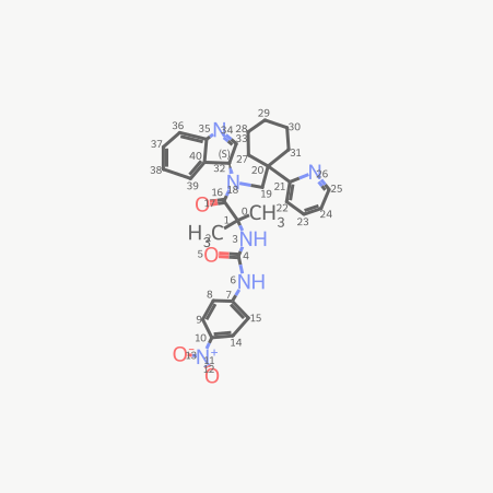 CC(C)(NC(=O)Nc1ccc([N+](=O)[O-])cc1)C(=O)N(CC1(c2ccccn2)CCCCC1)[C@@H]1C=Nc2ccccc21